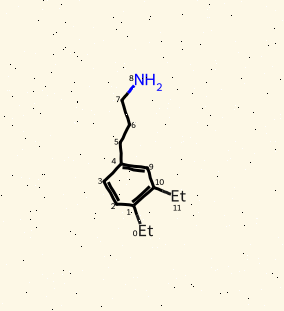 CCc1ccc(CCCN)cc1CC